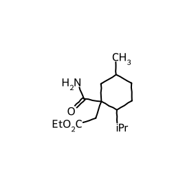 CCOC(=O)CC1(C(N)=O)CC(C)CCC1C(C)C